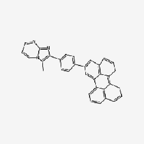 Cc1c(-c2ccc(-c3cc4c5c(c6c7c(cccc7c5c3)C=CC6)CC=C4)cc2)nc2ncccn12